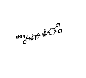 C=C(NC12CC1(C(C)NC(=O)OC(C)(C)C)C2)c1ccc(Cl)c(Cl)c1